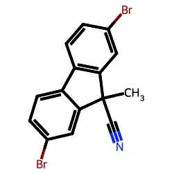 CC1(C#N)c2cc(Br)ccc2-c2ccc(Br)cc21